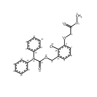 COC(=O)COc1cccc(COC(=O)N(c2ccccc2)c2ccccc2)c1Cl